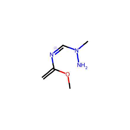 C=C(/N=C\N(C)N)OC